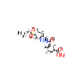 CCS(=O)(=O)c1ccc(CNC(=O)c2cccc(C(=O)O)c2)cc1